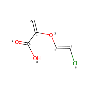 C=C(OC=CCl)C(=O)O